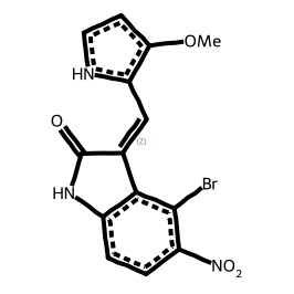 COc1cc[nH]c1/C=C1\C(=O)Nc2ccc([N+](=O)[O-])c(Br)c21